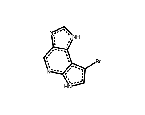 Brc1c[nH]c2ncc3nc[nH]c3c12